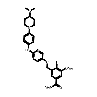 CNC(=O)c1cc(COc2cnc(Nc3ccc(N4CCC(N(C)C)CC4)cc3)nc2)c(F)c(OC)c1